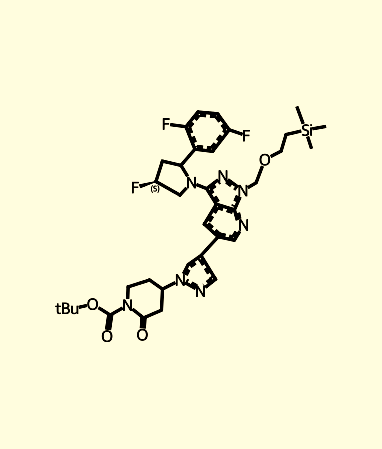 CC(C)(C)OC(=O)N1CCC(n2cc(-c3cnc4c(c3)c(N3C[C@@H](F)CC3c3cc(F)ccc3F)nn4COCC[Si](C)(C)C)cn2)CC1=O